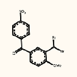 COc1ccc(C(=O)c2ccc([N+](=O)[O-])cc2)cc1C(Br)Br